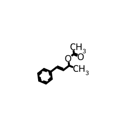 CC(=O)OC(C)/C=C/c1ccccc1